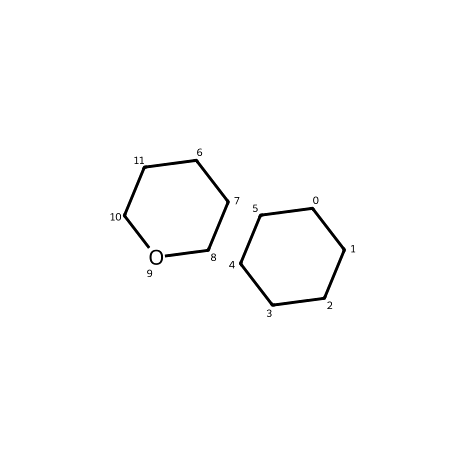 C1CCCCC1.C1CCOCC1